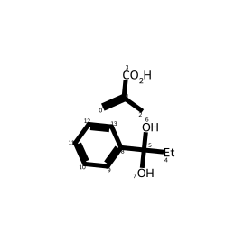 C=C(C)C(=O)O.CCC(O)(O)c1ccccc1